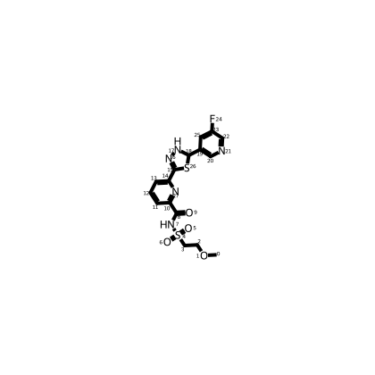 COCCS(=O)(=O)NC(=O)c1cccc(C2=NNC(c3cncc(F)c3)S2)n1